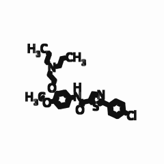 CCCN(CCC)CCOc1cc(NC(=O)c2cnc(-c3ccc(Cl)cc3)s2)ccc1OC